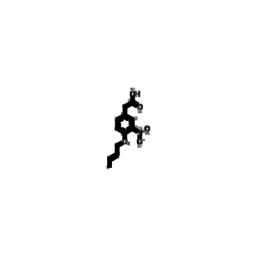 C/C=C/COc1ccc(CC(=O)O)cc1[N+](=O)[O-]